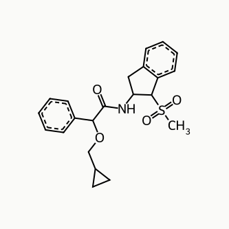 CS(=O)(=O)C1c2ccccc2CC1NC(=O)C(OCC1CC1)c1ccccc1